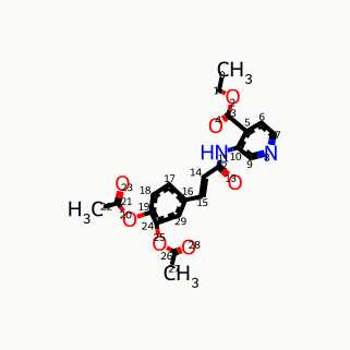 CCOC(=O)c1ccncc1NC(=O)C=Cc1ccc(OC(C)=O)c(OC(C)=O)c1